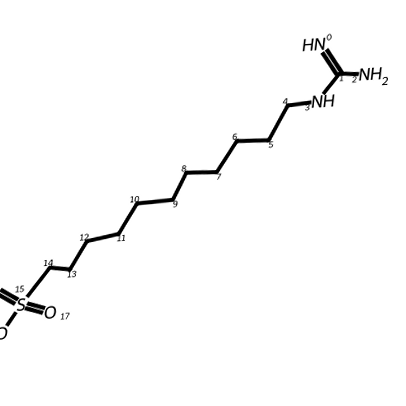 N=C(N)NCCCCCCCCCCCS(=O)(=O)O